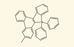 Cc1ccc2c3c(c4ccccc4c2c1)-c1ccccc1[Si]3(c1ccccc1)c1ccccc1